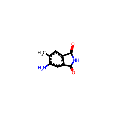 Cc1cc2c(cc1N)C(=O)NC2=O